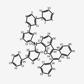 c1ccc(-c2cccc(-c3cccc(N(c4cccc(-c5ccccc5)c4)c4cccc5c4oc4c(-c6ccccc6)cc6ccccc6c45)c3)c2)cc1